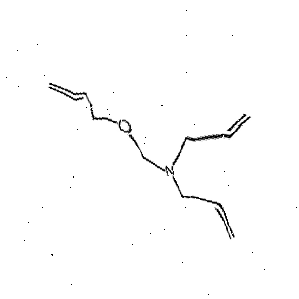 C=CCOCN(CC=C)CC=C